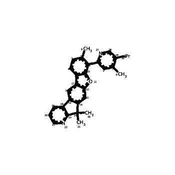 Cc1cc(-c2c(C)ccc3c2oc2cc4c(cc23)-c2cccnc2C4(C)C)ncc1C(C)C